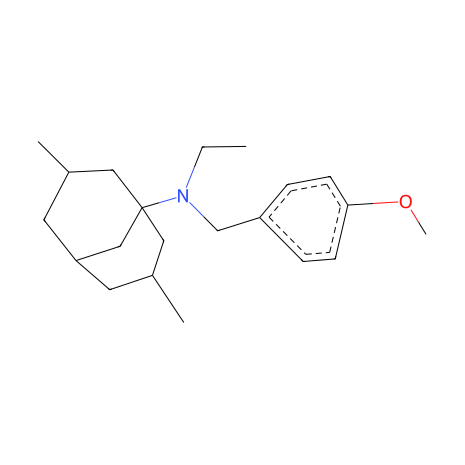 CCN(Cc1ccc(OC)cc1)C12CC(C)CC(CC(C)C1)C2